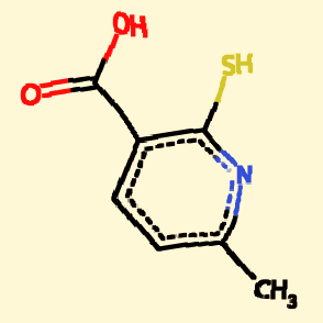 Cc1ccc(C(=O)O)c(S)n1